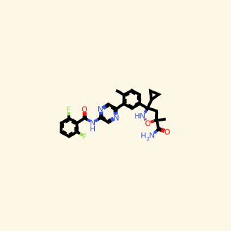 Cc1ccc(C2(C3CC3)CC(C)(C(N)=O)ON2)cc1-c1cnc(NC(=O)c2c(F)cccc2F)cn1